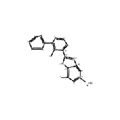 Cc1c(-c2ccccc2)cccc1-c1nc2cc(C=O)cc(C)c2o1